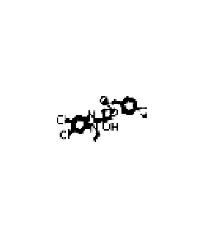 CCn1c(C(C)(O)CS(=O)(=O)Cc2ccc(OC)cc2)nc2cc(Cl)c(Cl)cc21